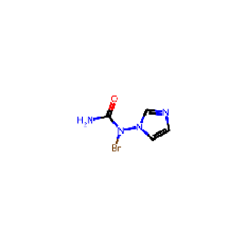 NC(=O)N(Br)n1ccnc1